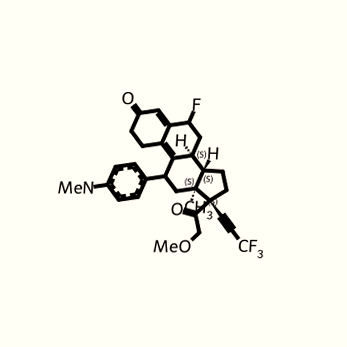 CNc1ccc(C2C[C@@]3(C)[C@@H](CC[C@]3(C#CC(F)(F)F)C(=O)COC)[C@@H]3CC(F)C4=CC(=O)CCC4=C23)cc1